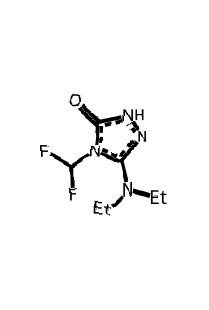 CCN(CC)c1n[nH]c(=O)n1C(F)F